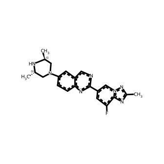 Cc1nc2c(F)cc(-c3ncc4cc(N5C[C@H](C)N[C@@H](C)C5)ccc4n3)cn2n1